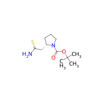 CC(C)(C)OC(=O)N1CCC[C@H]1CC(N)=S